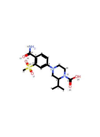 CC(C)C1CN(c2ccc(C(N)=O)c(S(C)(=O)=O)c2)CCN1C(=O)O